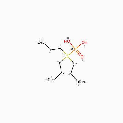 CCCCCCCCCCCCS(CCCCCCCCCCCC)(CCCCCCCCCCCC)P(=O)(O)O